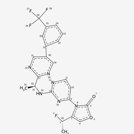 C[C@H](F)c1coc(=O)n1-c1ccnc(N[C@@H](C)c2ncc(-c3cccc(C(F)(F)F)c3)cn2)n1